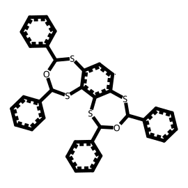 [c]1cc2c(c3c1SC(c1ccccc1)OC(c1ccccc1)S3)SC(c1ccccc1)OC(c1ccccc1)S2